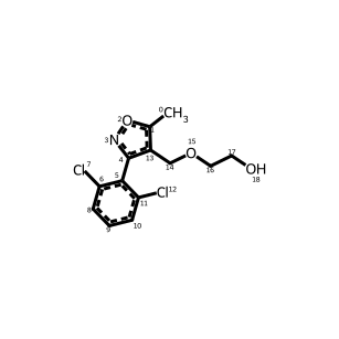 Cc1onc(-c2c(Cl)cccc2Cl)c1COCCO